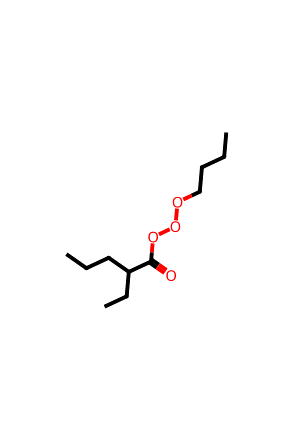 CCCCOOOC(=O)C(CC)CCC